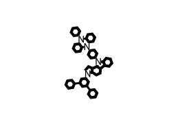 c1ccc(-c2cc(-c3ccccc3)cc(-n3ccc4c3ccc3c5ccccc5n(-c5ccc(N6c7ccccc7N(c7ccccc7)c7ccccc76)cc5)c34)c2)cc1